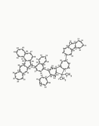 CC1(C)c2ccc(-c3ccc4oc5ccccc5c4c3)cc2-c2nc(-c3ccc(-n4c5cc6ccccc6cc5c5c6ccccc6ccc54)c4ccccc34)c(-c3ccncc3)nc21